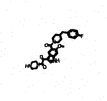 COc1cc2[nH]cc(C(=O)C(=O)N3CCNCC3)c2cc1C(=O)N1CCC(Cc2ccc(F)cc2)CC1